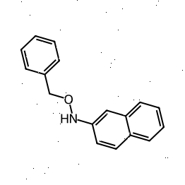 c1ccc(CONc2ccc3ccccc3c2)cc1